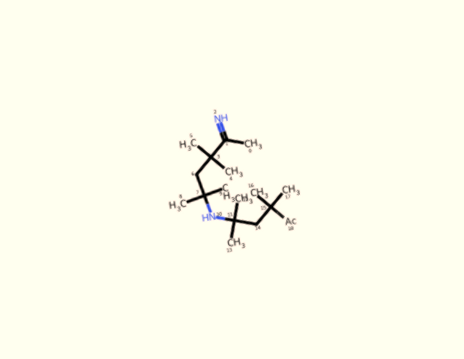 CC(=N)C(C)(C)CC(C)(C)NC(C)(C)CC(C)(C)C(C)=O